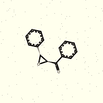 O=C(c1ccccc1)[C@H]1O[C@@H]1c1ccccc1